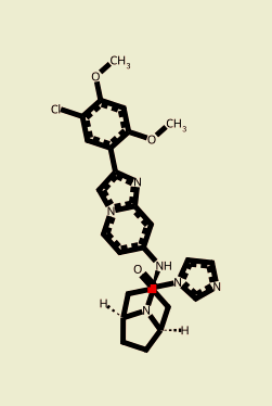 COc1cc(OC)c(-c2cn3ccc(N[C@H]4C[C@H]5CC[C@@H](C4)N5C(=O)n4ccnc4)cc3n2)cc1Cl